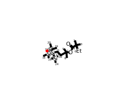 CCC(C)(C)C(=O)OC(C)(C)CC[Si]([Si](C)(C)C)([Si](C)(C)C)[Si](C)(C)C